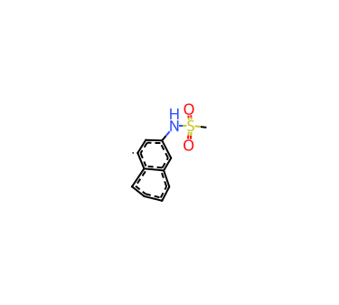 CS(=O)(=O)Nc1c[c]c2ccccc2c1